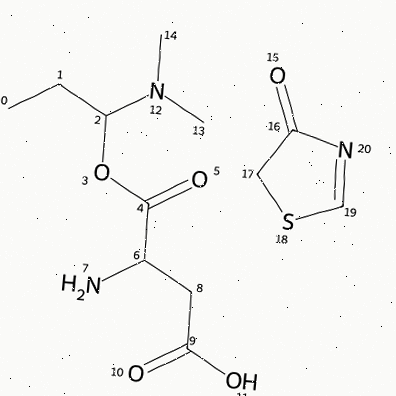 CCC(OC(=O)C(N)CC(=O)O)N(C)C.O=C1CSC=N1